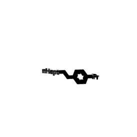 CCCCCCCCCc1ccc(C(C)C)cc1